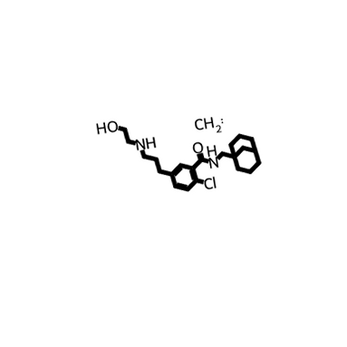 O=C(NCC12CCCC(CCC1)C2)c1cc(CCCNCCO)ccc1Cl.[CH2]